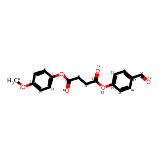 COc1ccc(OC(=O)CCC(=O)Oc2ccc(C=O)cc2)cc1